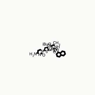 CC(C)COC(=O)[C@H](C)NP(=O)(OC[C@H]1S[C@@H](n2ccc(N)nc2=O)C[C@H]1O)Oc1cccc2ccccc12